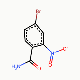 NC(=O)c1ccc(Br)cc1[N+](=O)[O-]